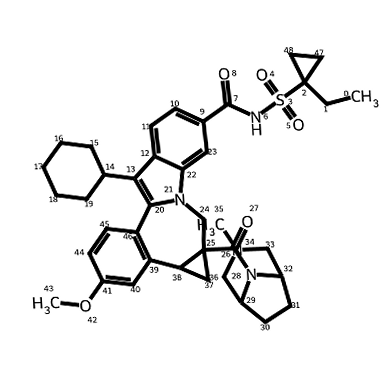 CCC1(S(=O)(=O)NC(=O)c2ccc3c(C4CCCCC4)c4n(c3c2)CC2(C(=O)N3C5CCC3CN(C)C5)CC2c2cc(OC)ccc2-4)CC1